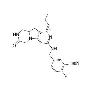 CC/C=C1/N=C(NCc2ccc(F)c(C#N)c2)C=C2N1CC1CNC(=O)CN21